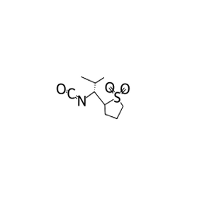 CC(C)[C@@H](N=C=O)C1CCCS1(=O)=O